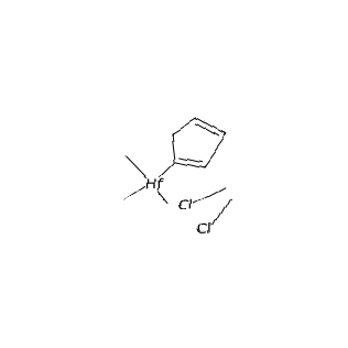 CCl.CCl.[CH3][Hf]([CH3])([CH3])[C]1=CC=CC1